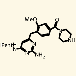 CCCC(C)Nc1cc(Cc2ccc(C(=O)N3CCNCC3)cc2OC)nc(N)n1